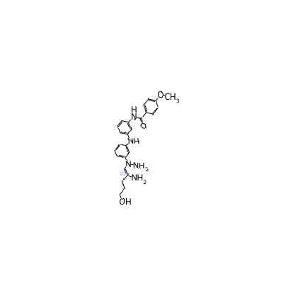 COc1ccc(C(=O)Nc2cccc(Nc3cccc(N(N)/C=C(\N)CCCO)c3)c2)cc1